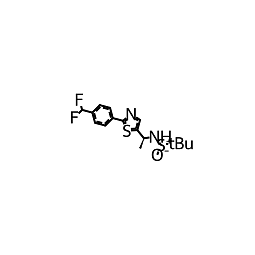 C[C@H](N[S+]([O-])C(C)(C)C)c1cnc(-c2ccc(C(F)F)cc2)s1